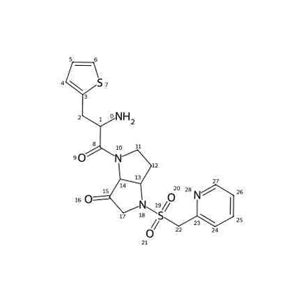 NC(Cc1cccs1)C(=O)N1CCC2C1C(=O)CN2S(=O)(=O)Cc1ccccn1